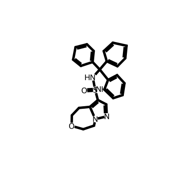 N=S(=O)(NC(c1ccccc1)(c1ccccc1)c1ccccc1)c1cnn2c1CCOCC2